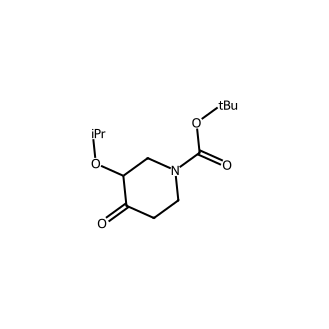 CC(C)OC1CN(C(=O)OC(C)(C)C)CCC1=O